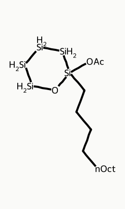 CCCCCCCCCCCC[Si]1(OC(C)=O)O[SiH2][SiH2][SiH2][SiH2]1